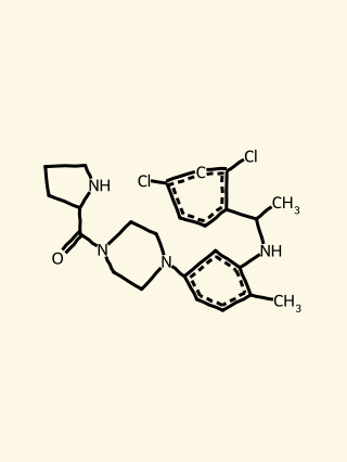 Cc1ccc(N2CCN(C(=O)C3CCCN3)CC2)cc1NC(C)c1ccc(Cl)cc1Cl